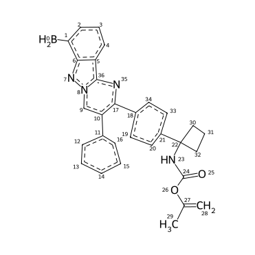 Bc1cccc2c1nn1cc(-c3ccccc3)c(-c3ccc(C4(NC(=O)OC(=C)C)CCC4)cc3)nc21